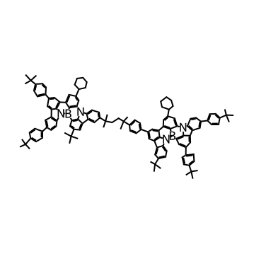 CC(C)(C)c1ccc(-c2ccc3c(c2)c2cc(-c4ccc(C(C)(C)C)cc4)cc4c2n3B2c3c-4cc(C4CCCCC4)cc3-n3c4ccc(C(C)(C)CCC(C)(C)c5ccc(-c6cc7c8c(c6)c6cc(C(C)(C)C)ccc6n8B6c8c-7cc(C7CCCCC7)cc8-n7c8ccc(-c9ccc(C(C)(C)C)cc9)cc8c8cc(-c9ccc(C(C)(C)C)cc9)cc6c87)cc5)cc4c4cc(C(C)(C)C)cc2c43)cc1